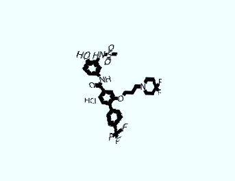 CS(=O)(=O)Nc1cc(NC(=O)c2ccc(-c3ccc(C(F)(F)F)cc3)c(OCCCN3CCC(F)(F)CC3)c2)ccc1O.Cl